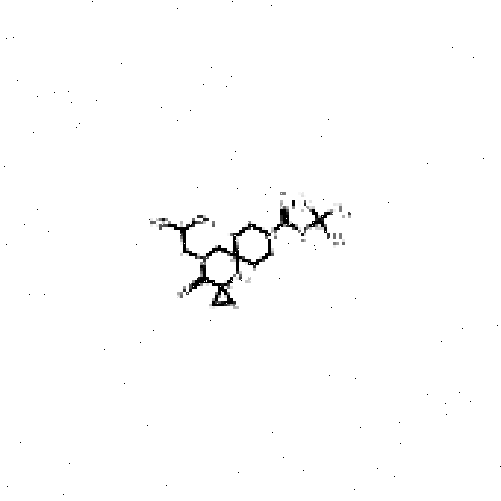 CC(C)CN1CC2(CCN(C(=O)OC(C)(C)C)CC2)OC2(CC2)C1=O